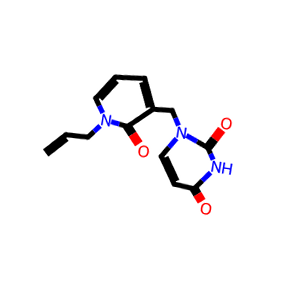 C=CCn1cccc(Cn2ccc(=O)[nH]c2=O)c1=O